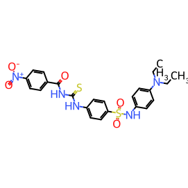 CCN(CC)c1ccc(NS(=O)(=O)c2ccc(NC(=S)NC(=O)c3ccc([N+](=O)[O-])cc3)cc2)cc1